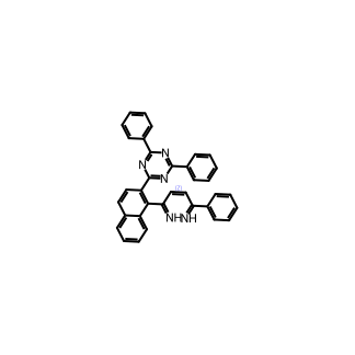 N=C(/C=C\C(=N)c1c(-c2nc(-c3ccccc3)nc(-c3ccccc3)n2)ccc2ccccc12)c1ccccc1